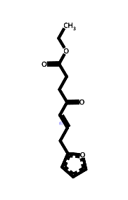 CCOC(=O)CCC(=O)/C=C/Cc1ccco1